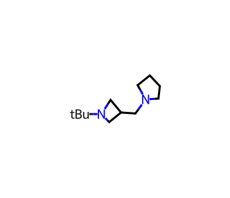 CC(C)(C)N1CC(CN2CCCC2)C1